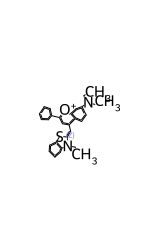 CCN(CC)c1ccc2c(/C=C3\Sc4ccccc4N3CC)cc(-c3ccccc3)[o+]c2c1